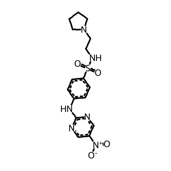 O=[N+]([O-])c1cnc(Nc2ccc(S(=O)(=O)NCCN3CCCC3)cc2)nc1